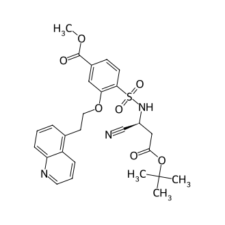 COC(=O)c1ccc(S(=O)(=O)N[C@H](C#N)CC(=O)OC(C)(C)C)c(OCCc2cccc3ncccc23)c1